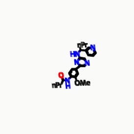 CCCC(=O)Nc1ccc(-c2cncc(NC(CCC)c3cccnc3)n2)cc1OC